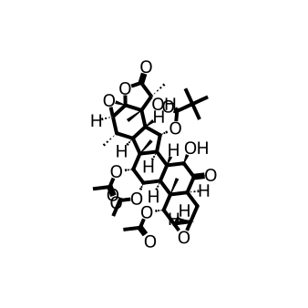 CC(=O)O[C@H]1[C@H]2[C@H]([C@@H]3[C@@H](OC(=O)C(C)(C)C)[C@@H]4[C@H]([C@H](C)[C@H]5O[C@]56OC(=O)[C@@](C)(O)[C@]46C)[C@@]3(C)[C@H]1OC(C)=O)[C@@H](O)C(=O)[C@H]1C[C@@H]3O[C@@H]3[C@H](OC(C)=O)[C@]21C